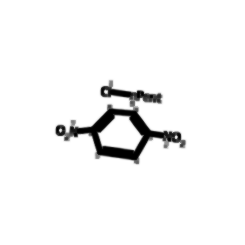 CCCCCCl.O=[N+]([O-])c1ccc([N+](=O)[O-])cc1